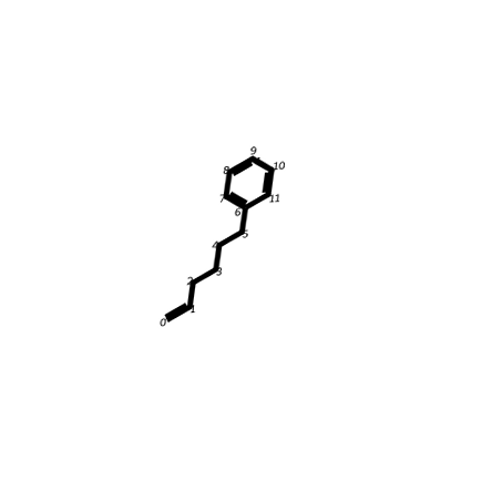 C=CCCCCc1cc[c]cc1